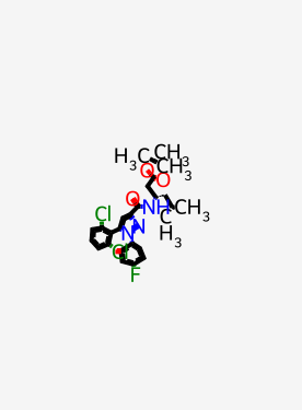 CC(C)C[C@@H](CC(=O)OC(C)(C)C)NC(=O)c1cc(-c2c(Cl)cccc2Cl)n(-c2ccc(F)cc2)n1